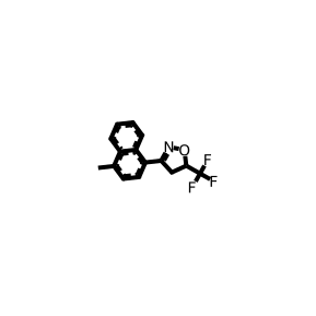 Cc1ccc(C2=NOC(C(F)(F)F)C2)c2ccccc12